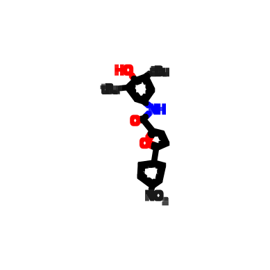 CC(C)(C)c1cc(NC(=O)c2ccc(-c3ccc([N+](=O)[O-])cc3)o2)cc(C(C)(C)C)c1O